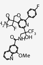 COc1cc(C(=O)NCC(O)(c2cc3c(c(-c4ccc(F)cc4)n2)OCC3(C(N)=O)C(F)F)C(F)(F)F)cc2cccnc12